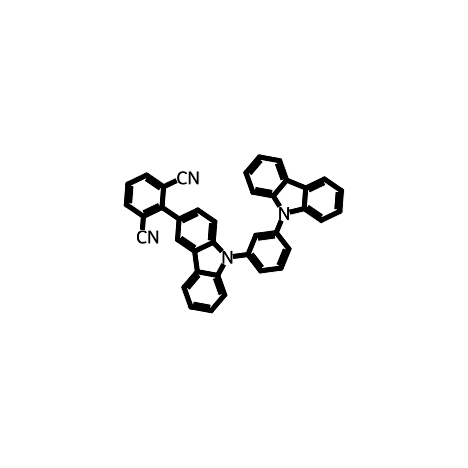 N#Cc1cccc(C#N)c1-c1ccc2c(c1)c1ccccc1n2-c1cccc(-n2c3ccccc3c3ccccc32)c1